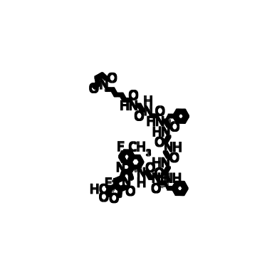 CC[C@@]1(O)C(=O)OCc2c1cc1n(c2=O)Cc2c-1nc1cc(F)c(C)c3c1c2[C@@H](NC(=O)CNC(=O)[C@H](Cc1ccccc1)NC(=O)CNC(=O)CNC(=O)CNC(=O)[C@H](Cc1ccccc1)NC(=O)CNC(=O)CNC(=O)CCCCCN1C(=O)C=CC1=O)CC3